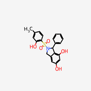 Cc1ccc(S(=O)(=O)N2Cc3cc(O)cc(O)c3C2c2ccccc2)c(O)c1